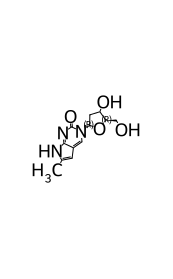 Cc1cc2cn([C@H]3CC(O)[C@@H](CO)O3)c(=O)nc2[nH]1